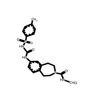 Cc1ccc(S(=O)(=O)NC(=O)Nc2ccc3c(c2)CCN(C(=O)NC=O)CC3)cc1